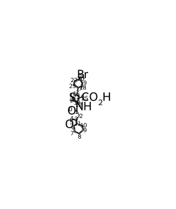 O=C(Cc1coc2ccccc12)Nc1csc(-c2ccc(Br)cc2)c1C(=O)O